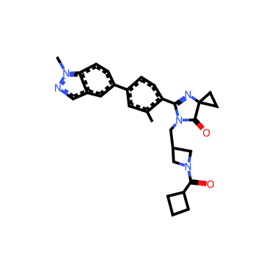 Cc1cc(-c2ccc3c(cnn3C)c2)ccc1C1=NC2(CC2)C(=O)N1CC1CN(C(=O)C2CCC2)C1